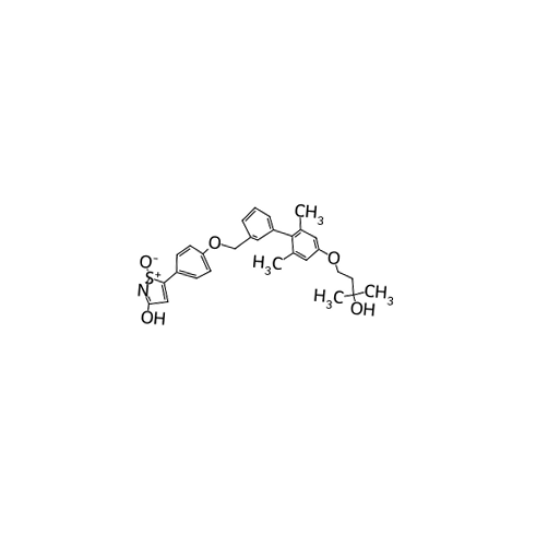 Cc1cc(OCCC(C)(C)O)cc(C)c1-c1cccc(COc2ccc(-c3cc(O)n[s+]3[O-])cc2)c1